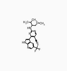 COCC(Nc1ncc(C#N)c(-c2c[nH]c3ncc(C(F)(F)F)cc23)n1)C(C)C